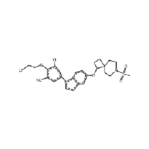 CS(=O)(=O)N1CCC2(CCC2Oc2ccc3c(ccn3-c3cc(Cl)c(OCCCl)c(C#N)c3)c2)CC1